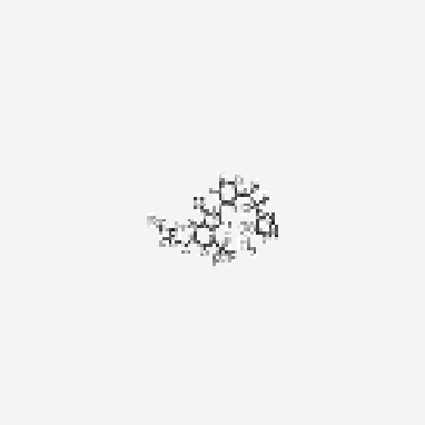 Cn1cnnc1C(F)(F)C(F)c1cccc(N2Cc3c(cc(CN4CC(F)C4)cc3C(F)(F)F)C2=O)c1